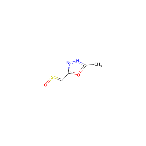 Cc1nnc(C=S=O)o1